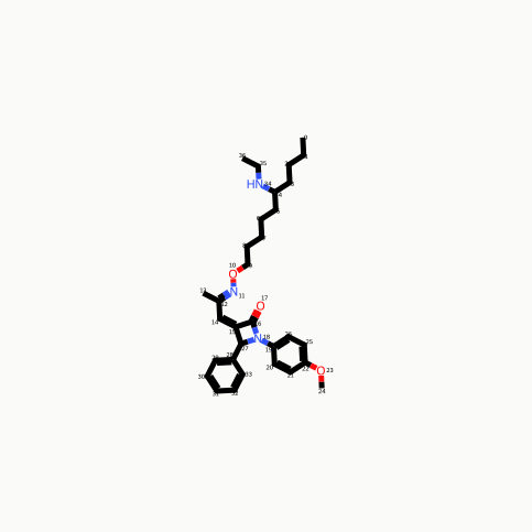 CCCCC(CCCCCON=C(C)C=C1C(=O)N(c2ccc(OC)cc2)C1c1ccccc1)NCC